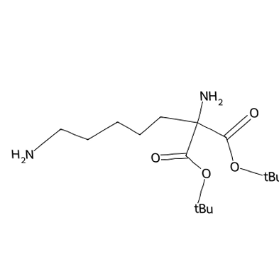 CC(C)(C)OC(=O)C(N)(CCCCCN)C(=O)OC(C)(C)C